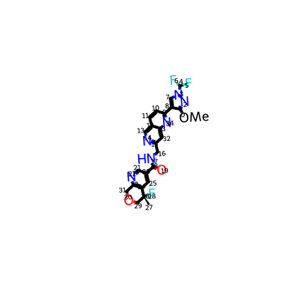 COc1nn(C(F)F)cc1-c1ccc2cnc(CNC(=O)c3cnc4c(c3)[C@](C)(F)COC4)cc2n1